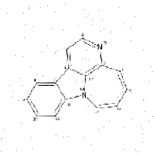 C1=Cc2nccc3c4ccccc4n(c23)C=C1